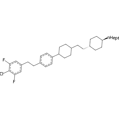 CCCCCCC[C@H]1CC[C@H](CCC2CCC(c3ccc(CCc4cc(F)c(Cl)c(F)c4)cc3)CC2)CC1